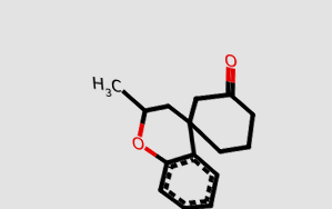 CC1CC2(CCCC(=O)C2)c2ccccc2O1